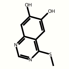 CSc1ncnc2cc(O)c(O)cc12